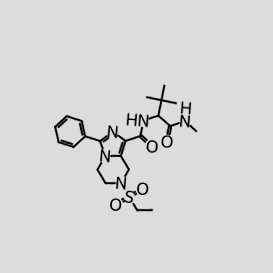 CCS(=O)(=O)N1CCn2c(-c3ccccc3)nc(C(=O)NC(C(=O)NC)C(C)(C)C)c2C1